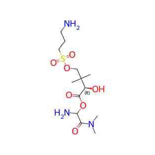 CN(C)C(=O)C(N)OC(=O)[C@H](O)C(C)(C)COS(=O)(=O)CCCN